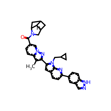 Cc1c(-c2cc3ccc(-c4ccc5[nH]ncc5c4)nc3n2CC2CC2)nn2cc(C(=O)N3CC4CC5CC3[C@H]54)ccc12